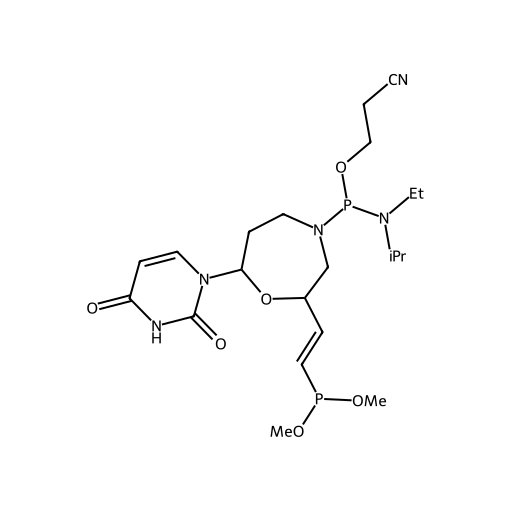 CCN(C(C)C)P(OCCC#N)N1CCC(n2ccc(=O)[nH]c2=O)OC(/C=C/P(OC)OC)C1